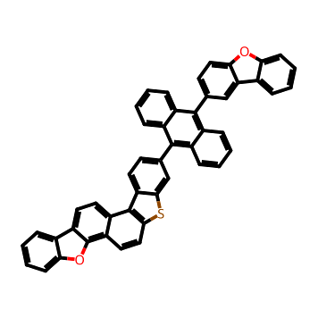 c1ccc2c(c1)oc1ccc(-c3c4ccccc4c(-c4ccc5c(c4)sc4ccc6c(ccc7c8ccccc8oc76)c45)c4ccccc34)cc12